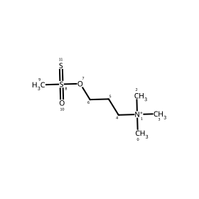 C[N+](C)(C)CCCOS(C)(=O)=S